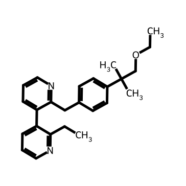 CCOCC(C)(C)c1ccc(Cc2ncccc2-c2cccnc2CC)cc1